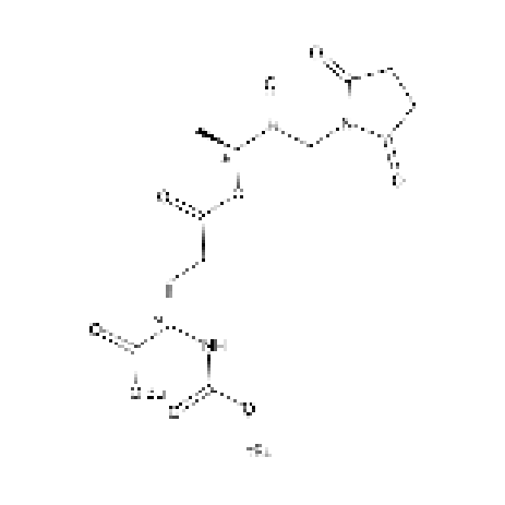 CC(C)COC(=O)[C@H](CCC(=O)O[C@@H](C)C(=O)CN1C(=O)CCC1=O)NC(=O)OC(C)(C)C